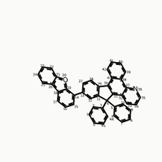 c1ccc(C2(c3ccccc3)c3cc(-c4cccc5c4oc4ccccc45)ccc3-c3c2c2cccnc2c2ccccc32)cc1